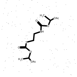 CC(=O)OC(C)OC(=O)NCCSC(=O)OC(C)OC(C)=O